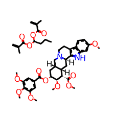 C=C(C)C(=O)OC(CCC)OC(=O)C(=C)C.COC(=O)[C@H]1[C@H]2C[C@@H]3c4[nH]c5cc(OC)ccc5c4CCN3C[C@H]2C[C@@H](OC(=O)c2cc(OC)c(OC)c(OC)c2)[C@@H]1OC